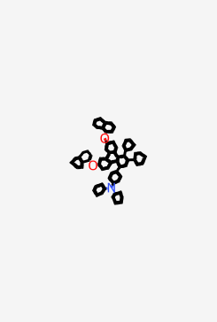 C1=C(Oc2ccc3c(c2)c2cc(Oc4cccc5ccccc45)ccc2c2c(-c4ccccc4)c(-c4ccccc4)cc(-c4ccc(N(c5ccccc5)c5ccccc5)cc4)c32)c2ccccc2CC1